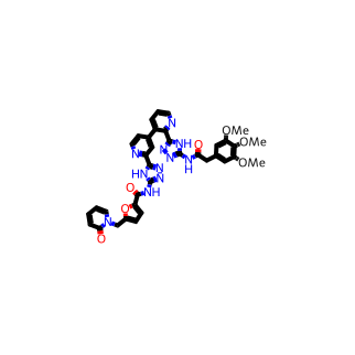 COc1cc(CC(=O)Nc2nnc(-c3ncccc3-c3ccnc(-c4nnc(NC(=O)c5ccc(Cn6ccccc6=O)o5)[nH]4)c3)[nH]2)cc(OC)c1OC